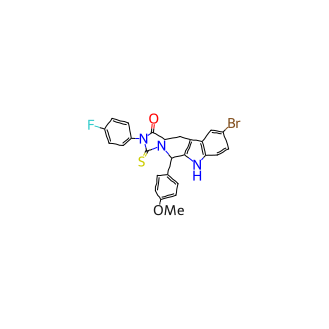 COc1ccc(C2c3[nH]c4ccc(Br)cc4c3CC3C(=O)N(c4ccc(F)cc4)C(=S)N32)cc1